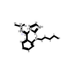 CCCCCSc1ccccc1/C(=N/N(C)C)n1ccnc1